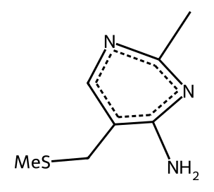 CSCc1cnc(C)nc1N